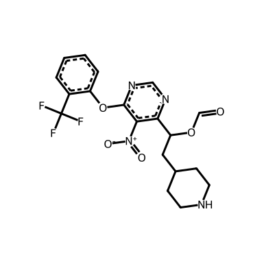 O=COC(CC1CCNCC1)c1ncnc(Oc2ccccc2C(F)(F)F)c1[N+](=O)[O-]